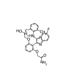 Cc1cccc(C)c1Nc1c(-c2c(OCCO)cccc2OCC(N)=O)nc2ccc(F)cn12